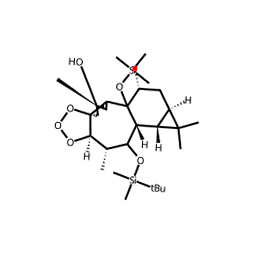 C[C@@H]1C[C@@H]2[C@@H]([C@@H]3C(O[Si](C)(C)C(C)(C)C)[C@H](C)[C@H]4OOO[C@]45C[C@](C)(O)C=C5C13O[Si](C)(C)C)C2(C)C